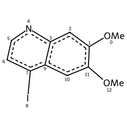 COc1cc2nccc(I)c2cc1OC